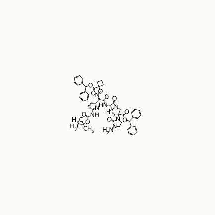 CC(C)(C)OC(=O)Nc1nc(/C(=N/OC2(C(=O)OC(c3ccccc3)c3ccccc3)CCC2)C(=O)N[C@@H]2C(=O)N3C[C@@](C(=O)OC(c4ccccc4)c4ccccc4)(N4CCN(N)C4=O)S[C@H]23)cs1